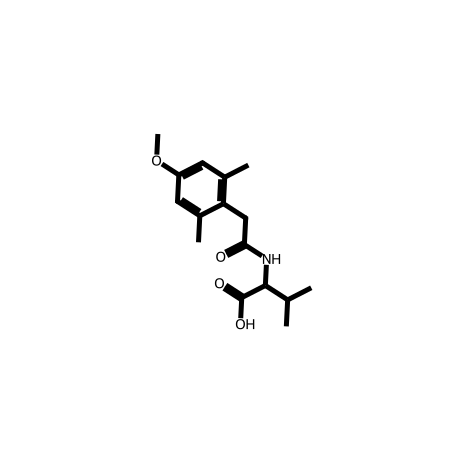 COc1cc(C)c(CC(=O)NC(C(=O)O)C(C)C)c(C)c1